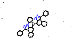 c1ccc(-c2nn3c4c(cc5ccccc5c24)B2c4c-3cccc4-n3nc(-c4ccccc4)c4c5ccccc5cc2c43)cc1